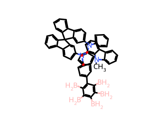 Bc1c(B)c(B)c(-c2ccc(N(c3ccc4c(c3)C3(c5ccccc5-c5ccc(N(c6ccccc6)c6ccccc6)cc53)c3ccccc3-4)c3cccc4c5ccccc5n(C)c34)cc2)c(B)c1B